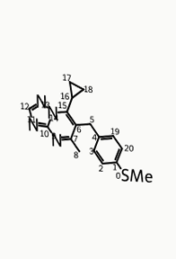 CSc1ccc(Cc2c(C)nc3ncnn3c2C2CC2)cc1